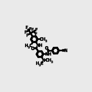 Cc1cc(C(F)(C(F)(F)F)C(F)(F)F)cc(C)c1NC(=O)c1ccc(N(C)C)c(NC(=O)c2ccc(C#N)cc2)c1